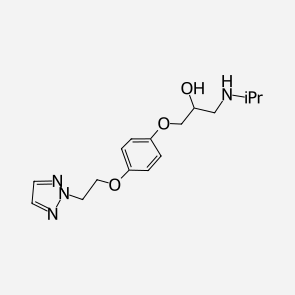 CC(C)NCC(O)COc1ccc(OCCn2nccn2)cc1